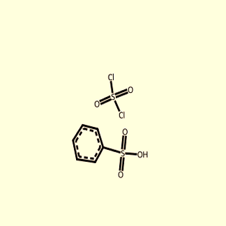 O=S(=O)(Cl)Cl.O=S(=O)(O)c1ccccc1